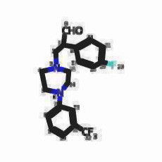 O=CC(CN1CCN(c2cccc(C(F)(F)F)c2)CC1)c1ccc(F)cc1